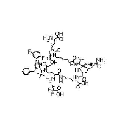 CC(C)[C@H](NC(=O)CCCCCN1C(=O)CC(SC[C@H](N)C(=O)O)C1=O)C(=O)N[C@@H](CCCNC(N)=O)C(=O)N[C@@H](CCCCNC(=O)[C@@H](N)CCN(C(=O)CO)[C@@H](c1nn(-c2cc(F)ccc2F)cc1Cc1ccccc1)C(C)(C)C)C(=O)O.O=C(O)C(F)(F)F